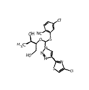 C[C@@H](O)C(CO)OC(Sc1cc(Cl)ccc1C#N)n1cc(-c2nc(Cl)cs2)nn1